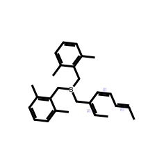 C\C=C(/C=C\C=C\C)CB(Cc1c(C)cccc1C)Cc1c(C)cccc1C